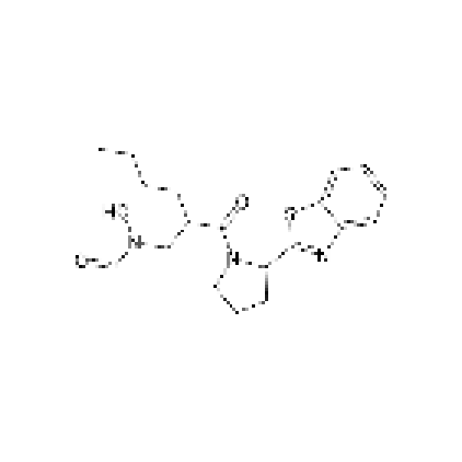 CCCCC(CN(O)C=O)C(=O)N1CCCC1c1nc2ccccc2s1